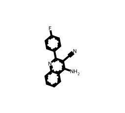 N#Cc1c(-c2ccc(F)cc2)nc2ccccc2c1N